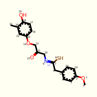 COc1ccc(C/C(S)=N/CC(=O)COc2ccc(O)c(C)c2)cc1